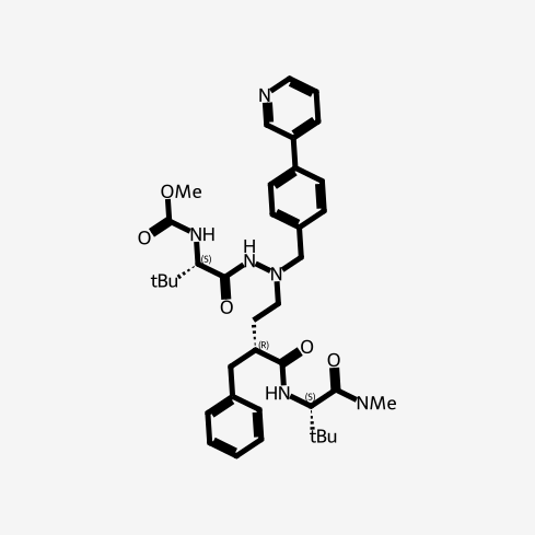 CNC(=O)[C@@H](NC(=O)[C@@H](CCN(Cc1ccc(-c2cccnc2)cc1)NC(=O)[C@@H](NC(=O)OC)C(C)(C)C)Cc1ccccc1)C(C)(C)C